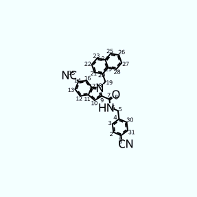 N#Cc1ccc(CNC(=O)c2cc3ccc(C#N)cc3n2Cc2cccc3ccccc23)cc1